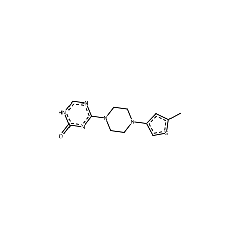 Cc1cc(N2CCN(c3nc[nH]c(=O)n3)CC2)cs1